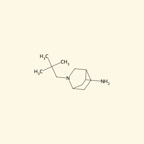 CC(C)(C)CN1CC2CCC1CC2N